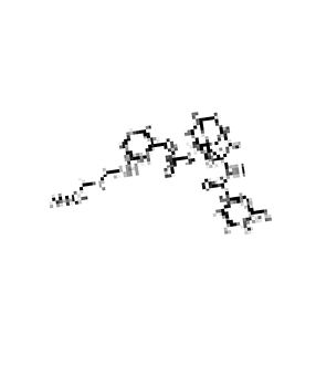 COCCCNc1cccc(OC(=O)NC23CC4CC(C2)CC(NC(=O)c2cccc(C)n2)(C4)C3)n1